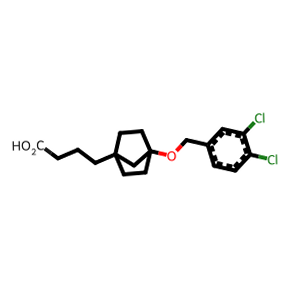 O=C(O)CCCC12CCC(OCc3ccc(Cl)c(Cl)c3)(CC1)C2